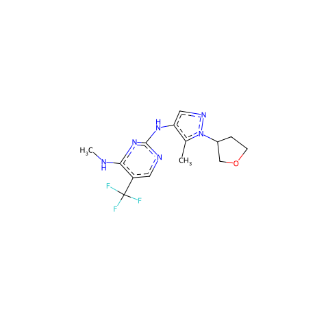 CNc1nc(Nc2cnn(C3CCOC3)c2C)ncc1C(F)(F)F